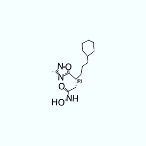 O=C(C[C@@H](CCCC1CCCCC1)c1n[c]no1)NO